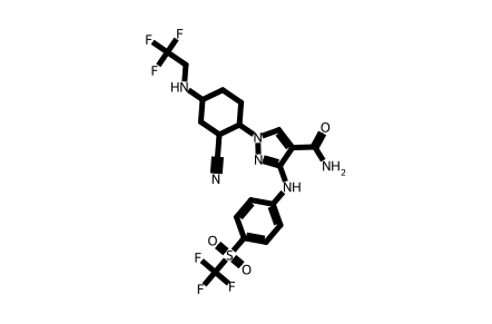 N#CC1CC(NCC(F)(F)F)CCC1n1cc(C(N)=O)c(Nc2ccc(S(=O)(=O)C(F)(F)F)cc2)n1